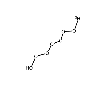 [2H]OOOOOOO